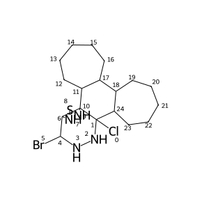 ClC12NNC(Br)C3NSNC31C1CCCCCC1C1CCCCCC12